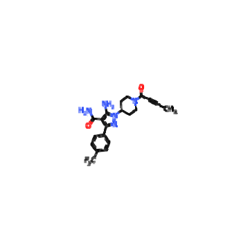 CC#CC(=O)N1CCC(n2nc(-c3ccc(C(F)(F)F)cc3)c(C(N)=O)c2N)CC1